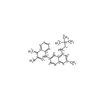 C=C(C(N)=O)c1ccccc1Nc1ncc2cc(C)nc(NCC(C)(C)C)c2n1